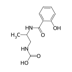 CC(CNC(=O)O)NC(=O)c1ccccc1O